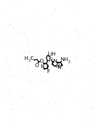 CCCC(=O)Oc1ncc(F)cc1C1CCCN1c1ccn2ncc(N)c2n1.[LiH]